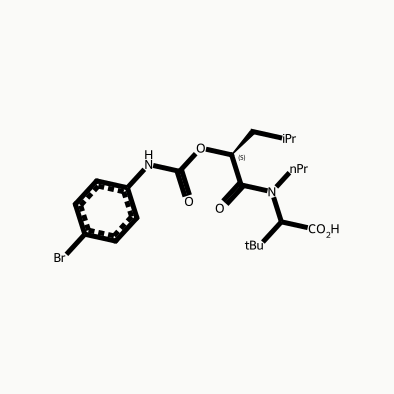 CCCN(C(=O)[C@H](CC(C)C)OC(=O)Nc1ccc(Br)cc1)C(C(=O)O)C(C)(C)C